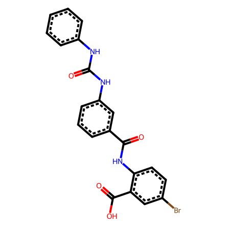 O=C(Nc1ccccc1)Nc1cccc(C(=O)Nc2ccc(Br)cc2C(=O)O)c1